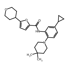 CC1(C)CCN(c2ccc(C3CC3)cc2NC(=O)c2ccc(C3CCOCC3)o2)CC1